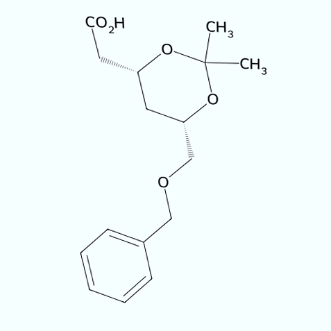 CC1(C)O[C@H](COCc2ccccc2)C[C@H](CC(=O)O)O1